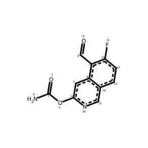 NC(=O)Oc1cc2c(C=O)c(F)ccc2cn1